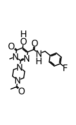 CC(=O)N1CCN(c2nc(C(=O)NCc3ccc(F)cc3)c(O)c(=O)n2C)CC1